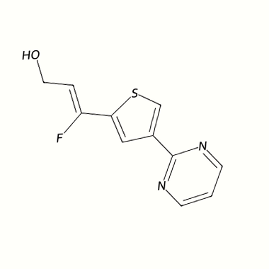 OCC=C(F)c1cc(-c2ncccn2)cs1